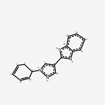 C1=CCC(n2cc(-c3nc4ccccc4o3)cn2)C=C1